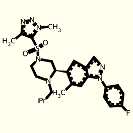 Cc1cc2c(cnn2-c2ccc(F)cc2)cc1[C@@H]1CN(S(=O)(=O)c2c(C)nnn2C)CCN1CC(C)C